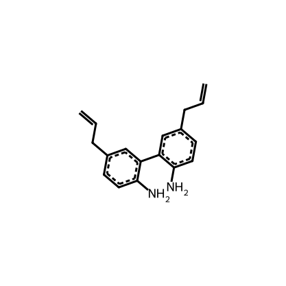 C=CCc1ccc(N)c(-c2cc(CC=C)ccc2N)c1